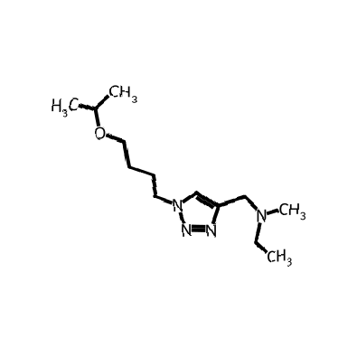 CCN(C)Cc1cn(CCCCOC(C)C)nn1